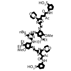 CCCCSc1nc(Nc2cc(N(CC)CC)c(OC)cc2/N=N/c2nc(N3CCOCC3)c(/C=C(\C(C)=O)C(=O)Nc3cccc(S(=O)(=O)O)c3)s2)nc(Nc2cc(N(CC)CC)c(OC)cc2/N=N/c2nc(N3CCOCC3)c(C(C(C)=O)C(=O)Nc3cccc(S(=O)(=O)O)c3)s2)n1